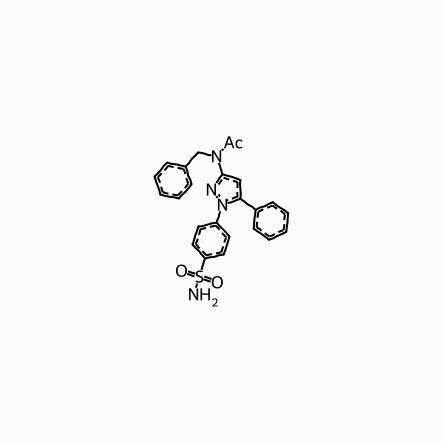 CC(=O)N(Cc1ccccc1)c1cc(-c2ccccc2)n(-c2ccc(S(N)(=O)=O)cc2)n1